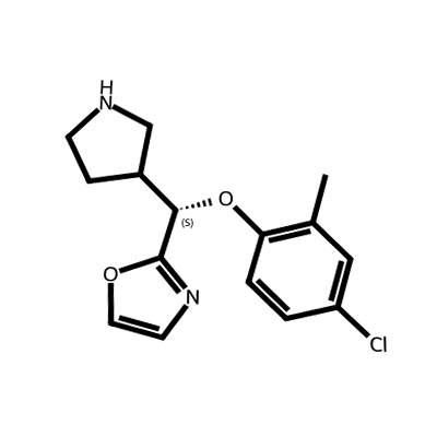 Cc1cc(Cl)ccc1O[C@H](c1ncco1)C1CCNC1